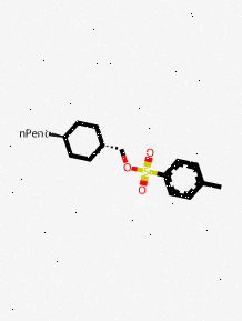 CCCCC[C@H]1CC[C@H](COS(=O)(=O)c2ccc(C)cc2)CC1